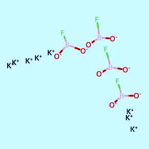 [K+].[K+].[K+].[K+].[K+].[K+].[K+].[K+].[O-]B([O-])F.[O-]B([O-])F.[O-]B([O-])F.[O-]B([O-])F